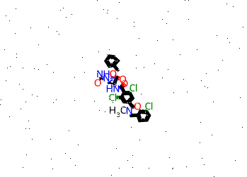 CN(Cc1cccc(Cl)c1)C(=O)c1cc(Cl)c(C(=O)N[C@@H](CNC(N)=O)C(=O)OCc2ccccc2)c(Cl)c1